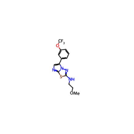 COCCNc1nn2c(-c3cccc(OC(F)(F)F)c3)cnc2s1